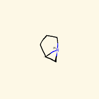 C1C[C]2C[N@]2C1